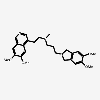 COc1cc2c(cc1OC)CN(CCCN(C)CCc1cncc3cc(OC)c(OC)cc13)C2